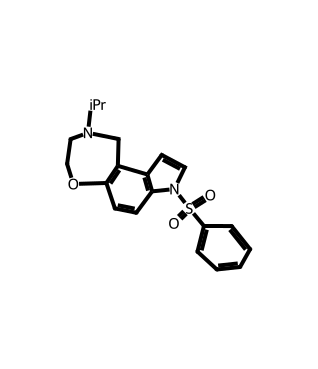 CC(C)N1CCOc2ccc3c(ccn3S(=O)(=O)c3ccccc3)c2C1